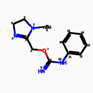 CCCCN1CCN=C1COC(=N)Nc1ccccc1